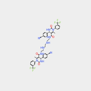 CC1=C(C(=O)NCCNCCNCCNC(=O)C2=C(C)N(c3cccc(C(F)(F)F)c3)C(=O)N[C@@H]2c2ccc(C#N)cc2)[C@@H](c2ccc(C#N)cc2)NC(=O)N1c1cccc(C(F)(F)F)c1